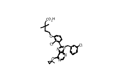 CC(C)(CCOc1cccc(-c2nc3c(OC4(C)CC4)ncnc3n2Cc2cccc(Cl)c2)c1Cl)CC(=O)O